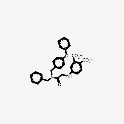 O=C(O)c1ccc(NCC(=O)N(Cc2ccccc2)Cc2ccc(Oc3ccccc3)cc2)cc1C(=O)O